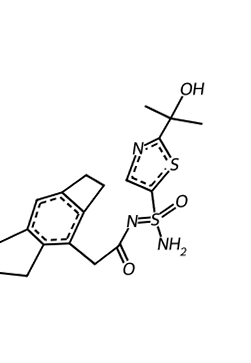 CC(C)(O)c1ncc(S(N)(=O)=NC(=O)Cc2c3c(cc4c2CC4)CCC3)s1